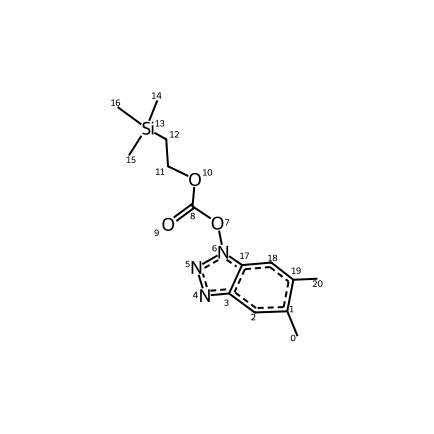 Cc1cc2nnn(OC(=O)OCC[Si](C)(C)C)c2cc1C